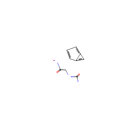 NC(=O)NCC(=O)NO.c1cc2cc-2c1